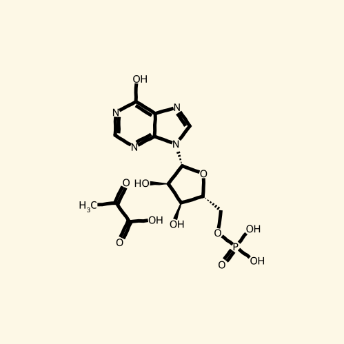 CC(=O)C(=O)O.O=P(O)(O)OC[C@H]1O[C@@H](n2cnc3c(O)ncnc32)[C@H](O)[C@@H]1O